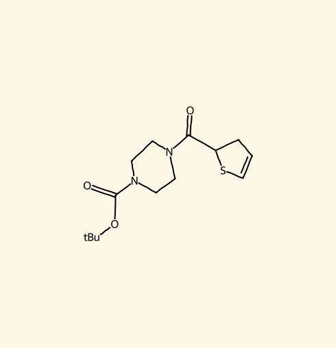 CC(C)(C)OC(=O)N1CCN(C(=O)C2CC=CS2)CC1